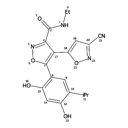 CCNC(=O)c1noc(-c2cc(C(C)C)c(O)cc2O)c1-c1cc(C#N)no1